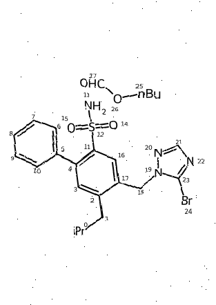 CC(C)Cc1cc(-c2ccccc2)c(S(N)(=O)=O)cc1Cn1ncnc1Br.CCCCOC=O